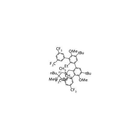 CCCCC(CCCC)(OC)[C@H](C)N(C)Cc1c(-c2cc(C(C)(C)C)c(OC)c(-c3cc(C(F)(F)F)cc(C(F)(F)F)c3)c2CC)cc(C(C)(C)C)c(OC)c1-c1cc(C(F)(F)F)cc(C(F)(F)F)c1